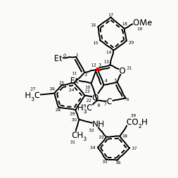 CC/C=C1C=C(/C2=C\CC(C)C(CC)/C=C(/c3cccc(OC)c3)O2)Oc2c/1cc(C)cc2C(C)Nc1ccccc1C(=O)O